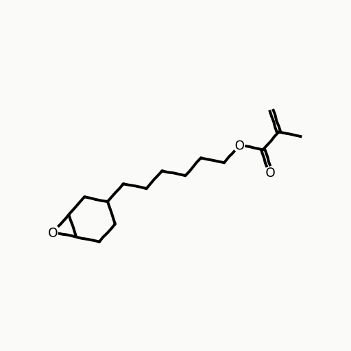 C=C(C)C(=O)OCCCCCCC1CCC2OC2C1